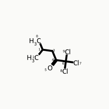 CC(C)CC(=O)C(Cl)(Cl)Cl